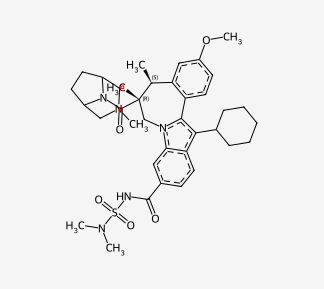 COc1ccc2c(c1)[C@H](C)[C@@](C)(C(=O)N1C3CCC1CN(C)C3)Cn1c-2c(C2CCCCC2)c2ccc(C(=O)NS(=O)(=O)N(C)C)cc21